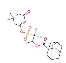 CC(OC(=O)C12CC3CC(CC(C3)C1)C2)C(F)(F)S(=O)(=O)OC1=CC(=O)CC(C)(C)C1